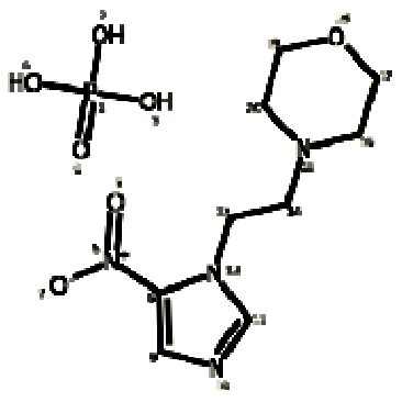 O=P(O)(O)O.O=[N+]([O-])c1cncn1CCN1CCOCC1